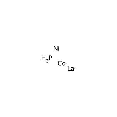 P.[Co].[La].[Ni]